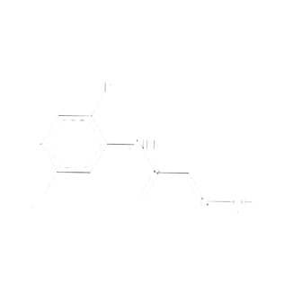 O=C(C=NO)Nc1cc(F)ccc1Br